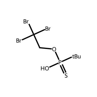 CC(C)(C)P(O)(=S)OCC(Br)(Br)Br